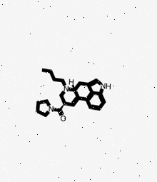 CCCCN1C[C@H](C(=O)N2CCCC2)C=C2c3cccc4[nH]cc(c34)C[C@H]21